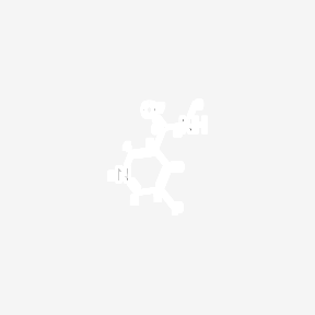 [CH2]c1cncc(C(=O)NC)c1